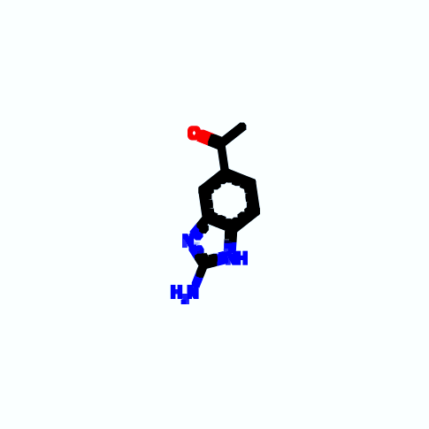 CC(=O)c1ccc2[nH]c(N)nc2c1